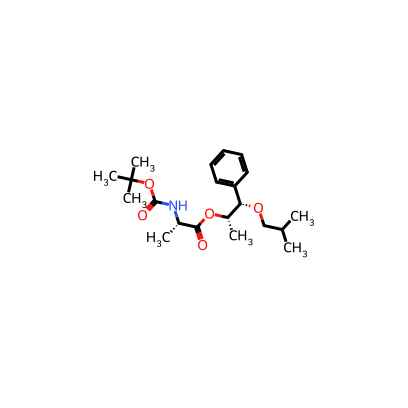 CC(C)CO[C@@H](c1ccccc1)[C@H](C)OC(=O)[C@H](C)NC(=O)OC(C)(C)C